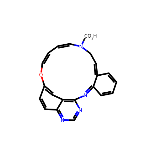 O=C(O)N1/C=C\C=C/Oc2ccc3ncnc(c3c2)/N=c2/cccc/c2=C/C1